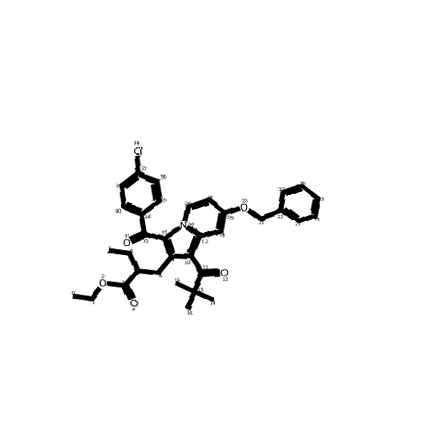 CCOC(=O)C(CC)Cc1c(C(=O)C(C)(C)C)c2cc(OCc3ccccc3)ccn2c1C(=O)c1ccc(Cl)cc1